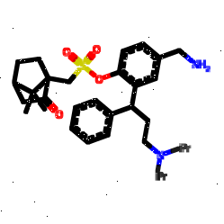 CC(C)N(CCC(c1ccccc1)c1cc(CN)ccc1OS(=O)(=O)CC12CCC(CC1=O)C2(C)C)C(C)C